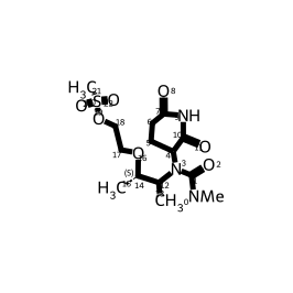 CNC(=O)N(C1CCC(=O)NC1=O)C(C)[C@H](C)OCCOS(C)(=O)=O